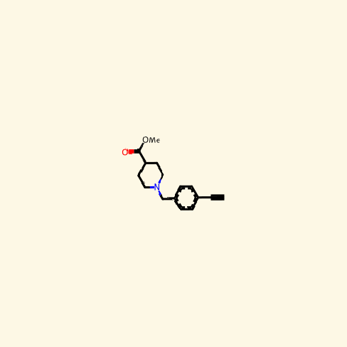 C#Cc1ccc(CN2CCC(C(=O)OC)CC2)cc1